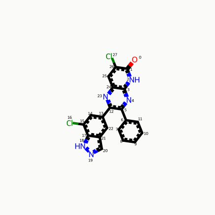 O=c1[nH]c2nc(-c3ccccc3)c(-c3cc(Cl)c4[nH]ncc4c3)nc2cc1Cl